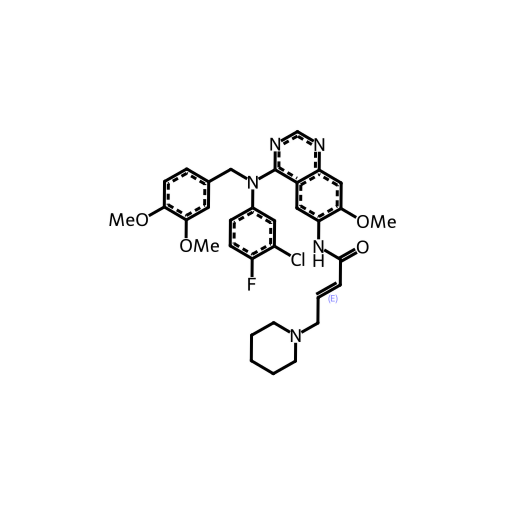 COc1cc2ncnc(N(Cc3ccc(OC)c(OC)c3)c3ccc(F)c(Cl)c3)c2cc1NC(=O)/C=C/CN1CCCCC1